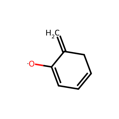 C=C1CC=CC=C1[O]